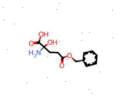 N[C@@](O)(CCC(=O)OCc1ccccc1)C(=O)O